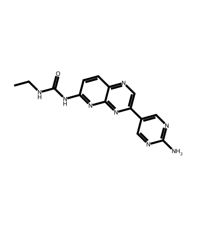 CCNC(=O)Nc1ccc2ncc(-c3cnc(N)nc3)nc2n1